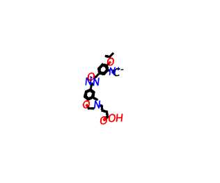 [C-]#[N+]c1cc(-c2nc(-c3ccc4c(c3)CN(CCCC(=O)O)CCO4)no2)ccc1OC(C)C